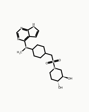 CN(c1ncnc2[nH]ccc12)C1CCC(CS(=O)(=O)N2CC[C@@H](O)[C@H](O)C2)CC1